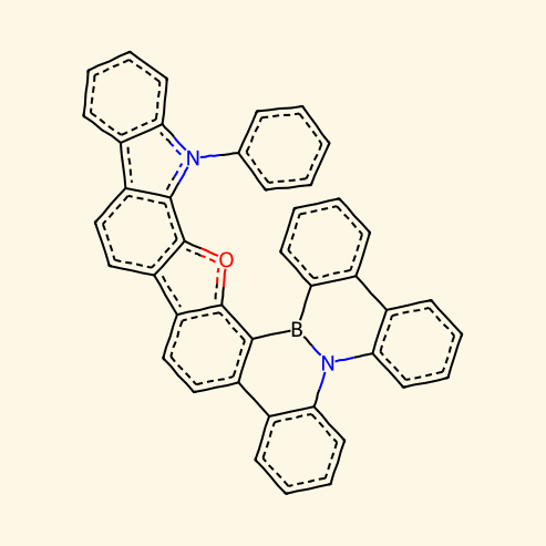 c1ccc(-n2c3ccccc3c3ccc4c5ccc6c(c5oc4c32)B2c3ccccc3-c3ccccc3N2c2ccccc2-6)cc1